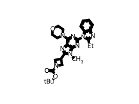 CCc1nc2ccccc2n1-c1nc(N2CCOCC2)c2nc(C3CN(C(=O)OC(C)(C)C)C3)n(C)c2n1